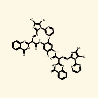 [C-]#[N+]c1nc(N=NC(C(=O)Nc2cc(Cl)c(NC(=O)C(N=Nc3nc(C#N)c(C#N)n3-c3ncccn3)c3nc4ccccc4c(=O)[nH]3)cc2Cl)c2nc3ccccc3c(=O)[nH]2)n(-c2ncccn2)c1[N+]#[C-]